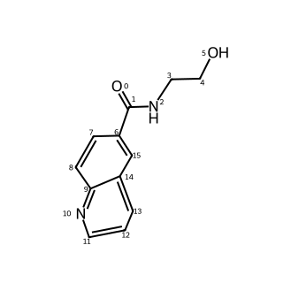 O=C(NCCO)c1ccc2ncccc2c1